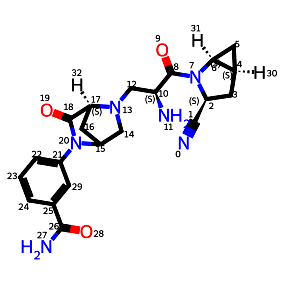 N#C[C@@H]1C[C@@H]2C[C@@H]2N1C(=O)[C@@H](N)CN1CC2C[C@H]1C(=O)N2c1cccc(C(N)=O)c1